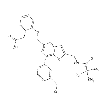 CC(C)(C)[S@@+]([O-])NCc1cc2cc(COc3ccccc3CC(=O)O)cc(-c3cccc(CN)c3)c2o1